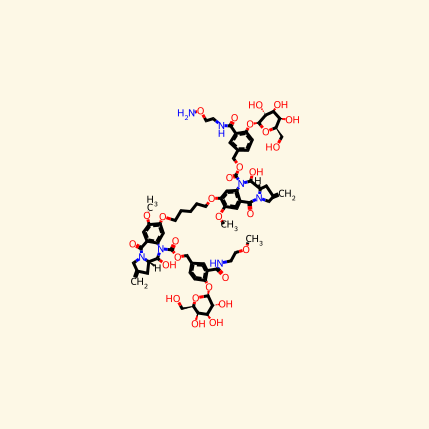 C=C1C[C@H]2C(O)N(C(=O)OCc3ccc(O[C@@H]4O[C@H](CO)[C@H](O)[C@H](O)[C@H]4O)c(C(=O)NCCOC)c3)c3cc(OCCCCCOc4cc5c(cc4OC)C(=O)N4CC(=C)C[C@H]4C(O)N5C(=O)OCc4ccc(O[C@@H]5O[C@H](CO)[C@H](O)[C@H](O)[C@H]5O)c(C(=O)NCCON)c4)c(OC)cc3C(=O)N2C1